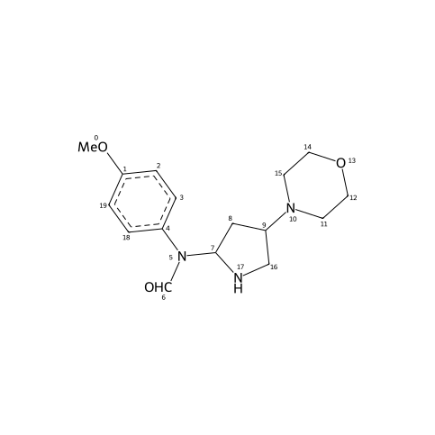 COc1ccc(N(C=O)C2CC(N3CCOCC3)CN2)cc1